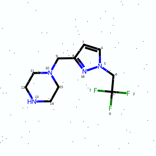 FC(F)(F)Cn1ccc(CN2CCNCC2)n1